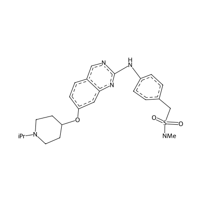 CNS(=O)(=O)Cc1ccc(Nc2ncc3ccc(OC4CCN(C(C)C)CC4)cc3n2)cc1